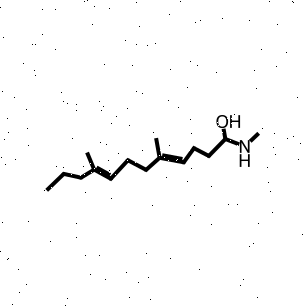 CCC/C(C)=C/CC/C(C)=C/CCC(O)NC